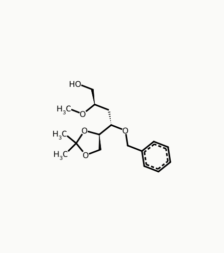 CO[C@@H](CO)C[C@H](OCc1ccccc1)[C@H]1COC(C)(C)O1